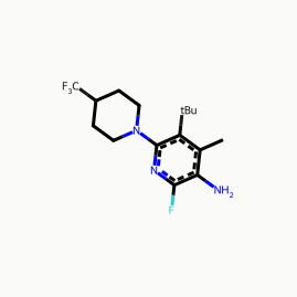 Cc1c(N)c(F)nc(N2CCC(C(F)(F)F)CC2)c1C(C)(C)C